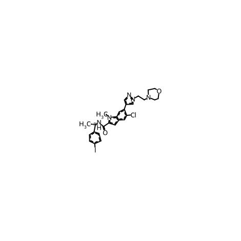 C[C@@H](NC(=O)c1cc2cc(Cl)c(-c3cnn(CCN4CCOCC4)c3)cc2n1C)c1ccc(I)cc1